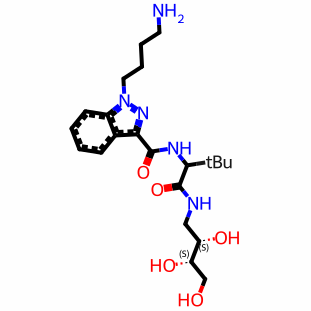 CC(C)(C)C(NC(=O)c1nn(CCCCN)c2ccccc12)C(=O)NC[C@H](O)[C@@H](O)CO